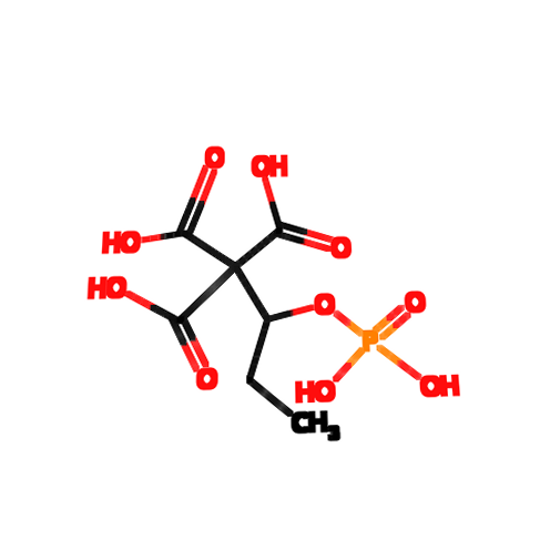 CCC(OP(=O)(O)O)C(C(=O)O)(C(=O)O)C(=O)O